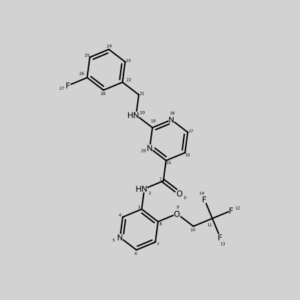 O=C(Nc1cnccc1OCC(F)(F)F)c1ccnc(NCc2cccc(F)c2)n1